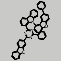 c1ccc(-c2ccc3oc4cccc(-n5c6ccccc6c6cccc(-c7nc(-c8ccccc8)nc(-c8ccc9c(c8)oc8ccccc89)n7)c65)c4c3c2)cc1